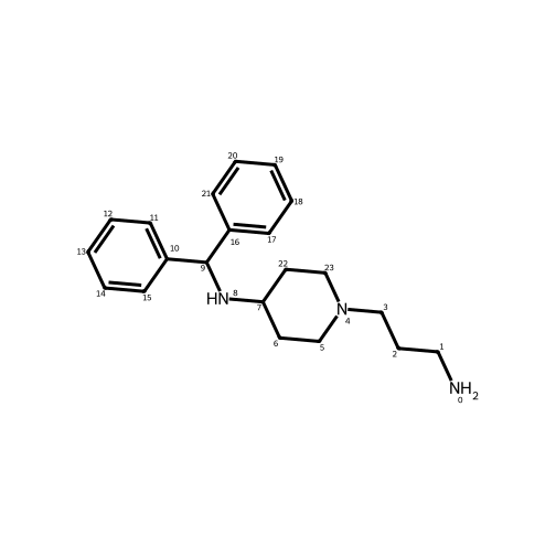 NCCCN1CCC(NC(c2ccccc2)c2ccccc2)CC1